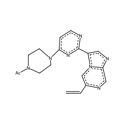 C=Cc1cn2c(-c3nccc(N4CCN(C(C)=O)CC4)n3)cnc2cn1